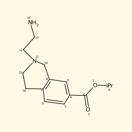 CC(C)OC(=O)c1ccc2c(c1)CN(CCN)CC2